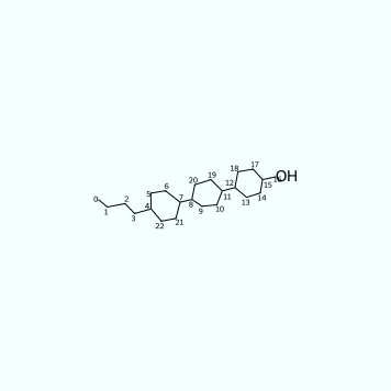 CCCCC1CCC(C2CCC(C3CCC(O)CC3)CC2)CC1